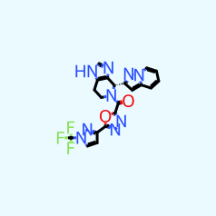 O=C(c1nnc(-c2ccn(C(F)(F)F)n2)o1)N1CCc2[nH]cnc2[C@@H]1c1cc2ccccn2n1